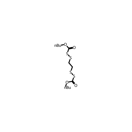 CCCCOC(=O)SSCCSSC(=O)OCCCC